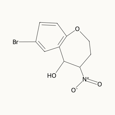 O=[N+]([O-])C1CCOc2ccc(Br)cc2C1O